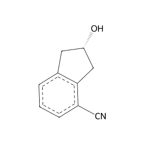 N#Cc1cccc2c1C[C@@H](O)C2